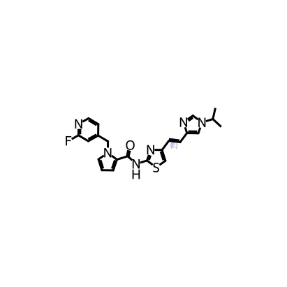 CC(C)n1cnc(/C=C/c2csc(NC(=O)c3cccn3Cc3ccnc(F)c3)n2)c1